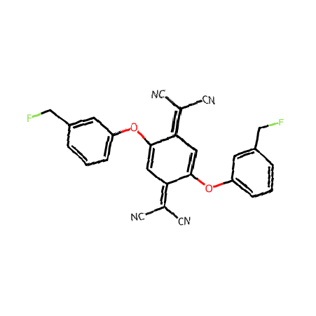 N#CC(C#N)=c1cc(Oc2cccc(CF)c2)c(=C(C#N)C#N)cc1Oc1cccc(CF)c1